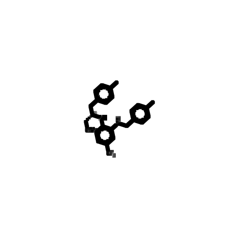 COC[C@H](Cc1ccc(C)cc1)Nc1ccc(C(F)(F)F)cc1NCc1ccc(C)cc1